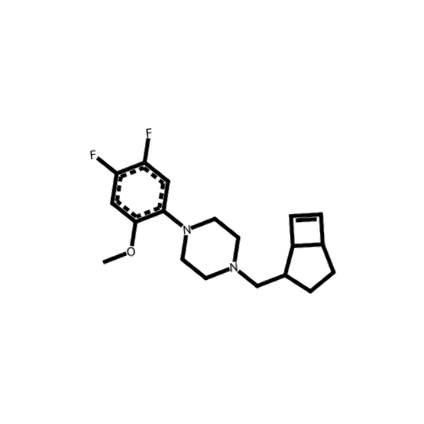 COc1cc(F)c(F)cc1N1CCN(CC2CCC3C=CC32)CC1